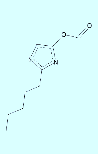 CCCCCc1nc(OC=O)cs1